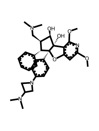 COc1cc2c(c(OC)n1)[C@]1(O)[C@H](O)[C@H](CN(C)C)[C@@H](c3ccccc3)[C@]1(c1ccc(N3CC(N(C)C)C3)cc1)O2